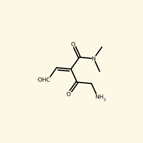 CN(C)C(=O)C(=C[C]=O)C(=O)CN